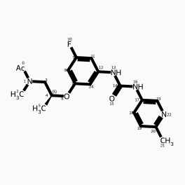 CC(=O)N(C)C[C@H](C)Oc1cc(F)cc(NC(=O)Nc2ccc(C)nc2)c1